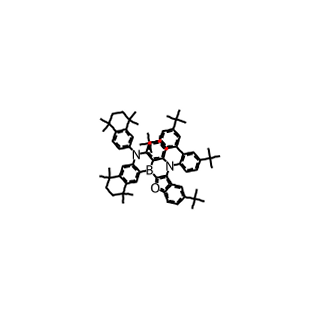 Cc1cc2c3c(c1)N(c1ccc(C(C)(C)C)cc1-c1cc(C(C)(C)C)cc(C(C)(C)C)c1)c1c(oc4ccc(C(C)(C)C)cc14)B3c1cc3c(cc1N2c1ccc2c(c1)C(C)(C)CCC2(C)C)C(C)(C)CCC3(C)C